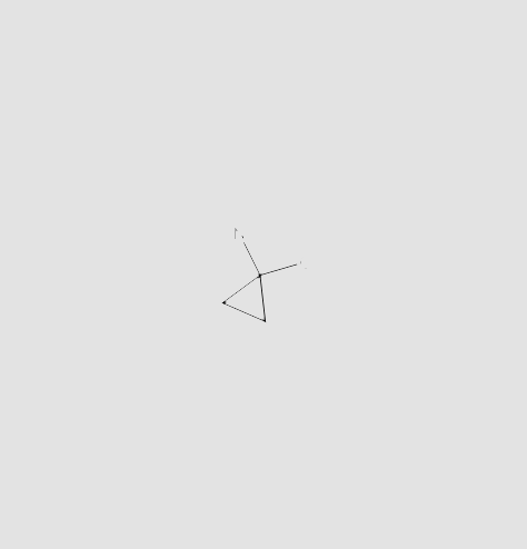 NC1(Cl)CC1